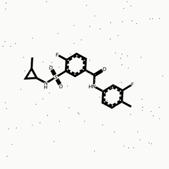 Cc1ccc(NC(=O)c2ccc(F)c(S(=O)(=O)NC3CC3C)c2)cc1F